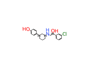 Oc1ccc([C@@H]2CCC[C@@H](NC[C@H](O)c3cccc(Cl)c3)C2)cc1